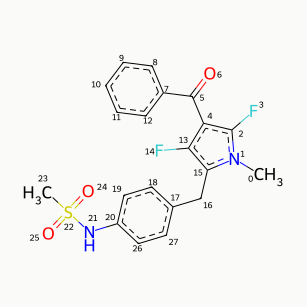 Cn1c(F)c(C(=O)c2ccccc2)c(F)c1Cc1ccc(NS(C)(=O)=O)cc1